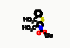 CC(C)(C)OC(=O)N1CC(Sc2ccccc2C(=O)O)CC1C(=O)O